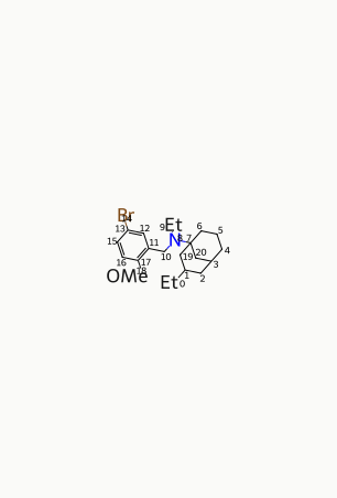 CCC1CC2CCCC(N(CC)Cc3cc(Br)ccc3OC)(C1)C2